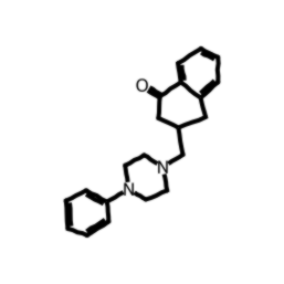 O=C1CC(CN2CCN(c3ccccc3)CC2)Cc2ccccc21